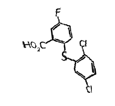 O=C(O)c1cc(F)ccc1Sc1cc(Cl)ccc1Cl